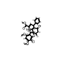 COC(=O)C1=CC(c2ccccc2)C2=C(N1)C1(Oc3c(Cl)c(OC)cc(OC)c3C1=O)C(C)CC2=O